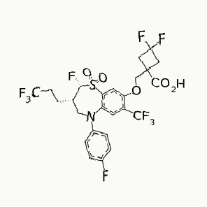 O=C(O)C1(COc2cc3c(cc2C(F)(F)F)N(c2ccc(F)cc2)C[C@H](CCC(F)(F)F)[C@H](F)S3(=O)=O)CC(F)(F)C1